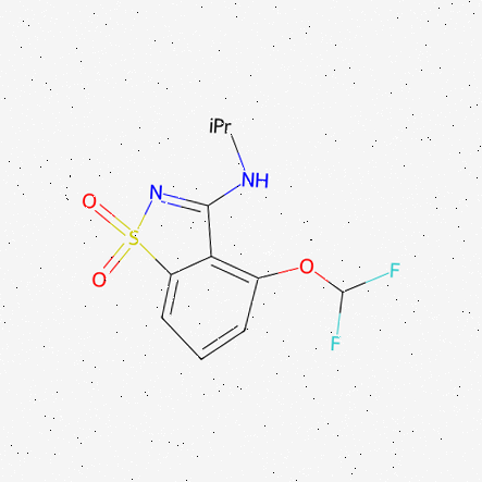 CC(C)NC1=NS(=O)(=O)c2cccc(OC(F)F)c21